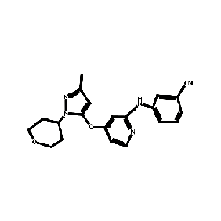 Cc1cc(Oc2ccnc(Nc3cccc(C#N)c3)c2)n(C2CCOCC2)n1